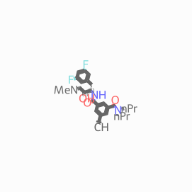 C#Cc1cc(C(=O)N[C@@H](Cc2cc(F)cc(F)c2)[C@H](O)CNC)cc(C(=O)N(CCC)CCC)c1